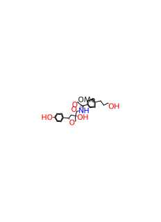 COC(=O)[C@@H](NC(=O)C1(O)COC(c2ccc(O)cc2)C1)c1ccc(CCCO)cc1